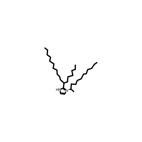 CCCCCCCCCCCC(CCCCCC)c1[nH]cc[n+]1C(C)CCCCCCCCCC